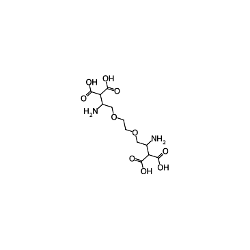 NC(COCCOCC(N)C(C(=O)O)C(=O)O)C(C(=O)O)C(=O)O